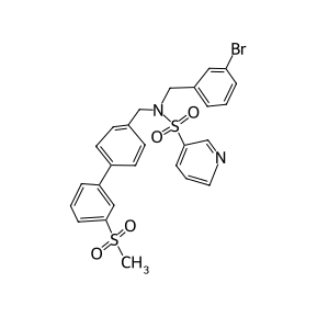 CS(=O)(=O)c1cccc(-c2ccc(CN(Cc3cccc(Br)c3)S(=O)(=O)c3cccnc3)cc2)c1